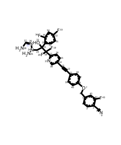 N#Cc1ccc(COc2ccc(C#Cc3ccc(C(F)(F)C(O)(CN(N)/N=C\N)c4ccc(F)cc4F)nc3)cc2)cc1F